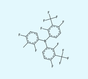 Cc1c(F)ccc(B(c2ccc(F)c(C(F)(F)F)c2F)c2ccc(F)c(C(F)(F)F)c2F)c1F